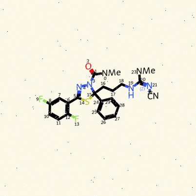 CNC(=O)N1N=C(c2cc(F)ccc2F)SC1(CCCN/C(=N\C#N)NC)c1ccccc1